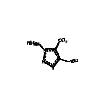 CCCCCCn1nnc(C(C)(C)C)c1C(Cl)(Cl)Cl